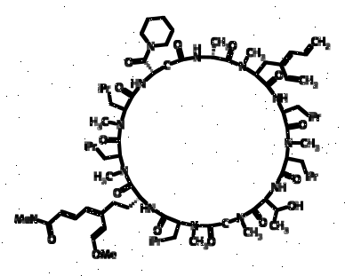 C=C/C=C(\C=C)CC1C(=O)NC(CC(C)C)C(=O)N(C)C(CC(C)C)C(=O)NC(C(C)O)C(=O)N(C)CC(=O)N(C)C(CC(C)C)C(=O)N[C@H](CCC(=C/C=C/C(=O)NC)/C=C/OC)C(=O)N(C)C(CC(C)C)C(=O)N(C)C(CC(C)C)C(=O)N[C@H](C(=O)N2CCCCC2)CC(=O)N[C@H](C)C(=O)N1C